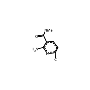 CNC(=O)c1ccc(Cl)nc1N